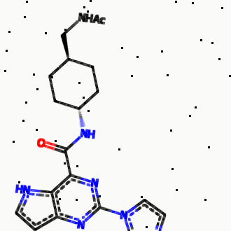 CC(=O)NC[C@H]1CC[C@H](NC(=O)c2nc(-n3ccnc3)nc3cc[nH]c23)CC1